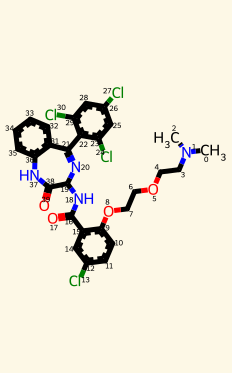 CN(C)CCOCCOc1ccc(Cl)cc1C(=O)NC1N=C(c2c(Cl)cc(Cl)cc2Cl)c2ccccc2NC1=O